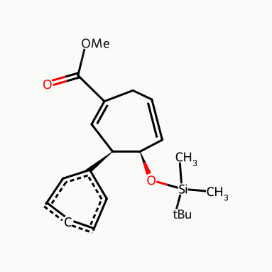 COC(=O)C1=C[C@H](c2ccccc2)[C@H](O[Si](C)(C)C(C)(C)C)C=CC1